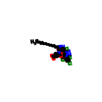 CCCCCCCCCCCCCCCC(=O)Nc1ccc(Nc2[nH]n(-c3c(Cl)cc(Cl)cc3Cl)c(=O)c2OC(=O)Nc2ccc([N+](=O)[O-])cc2)c(Cl)c1